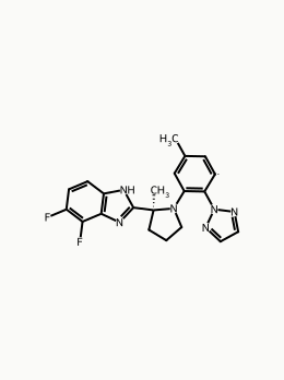 Cc1c[c]c(-n2nccn2)c(N2CCC[C@@]2(C)c2nc3c(F)c(F)ccc3[nH]2)c1